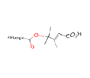 CCCCCCCC(=O)OC(C)(C)C(C)=CC(=O)O